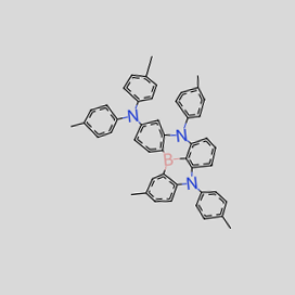 Cc1ccc(N(c2ccc(C)cc2)c2ccc3c(c2)N(c2ccc(C)cc2)c2cccc4c2B3c2cc(C)ccc2N4c2ccc(C)cc2)cc1